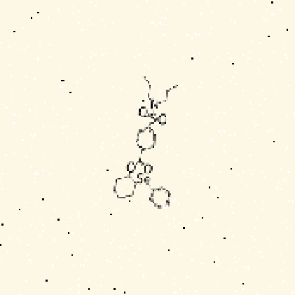 CCCN(CCC)S(=O)(=O)c1ccc(C(=O)OC2CCCCC2[Se]c2ccccc2)cc1